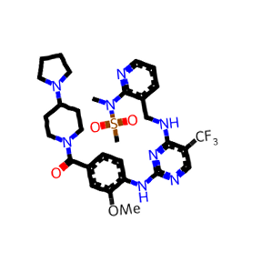 COc1cc(C(=O)N2CCC(N3CCCC3)CC2)ccc1Nc1ncc(C(F)(F)F)c(NCc2cccnc2N(C)S(C)(=O)=O)n1